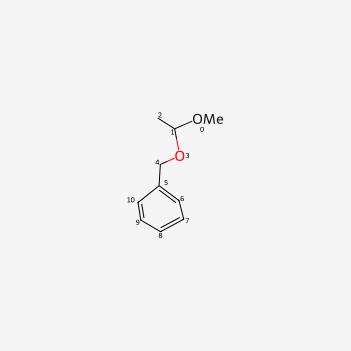 COC(C)OCc1ccccc1